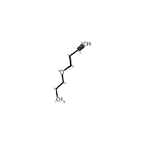 C#CC[CH]OCCC